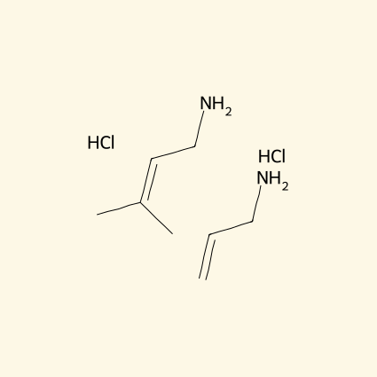 C=CCN.CC(C)=CCN.Cl.Cl